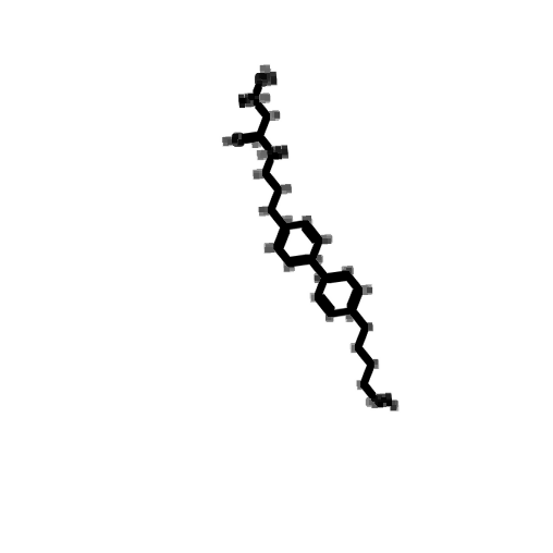 NCCCCc1ccc(-c2ccc(CCCNC(=O)CNO)cc2)cc1